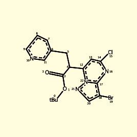 CC(C)(C)OC(=O)C(Cc1cccnc1)c1cc(Cl)nc2c(Br)cnn12